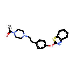 O=C(N1CCN(CCc2ccc(Oc3nc4ccccc4s3)cc2)CC1)C(F)(F)F